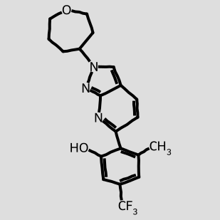 Cc1cc(C(F)(F)F)cc(O)c1-c1ccc2cn(C3CCCOCC3)nc2n1